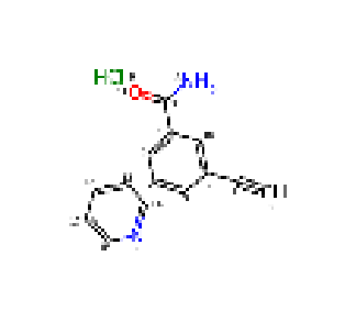 C#Cc1cccc(C(N)=O)c1.Cl.c1ccncc1